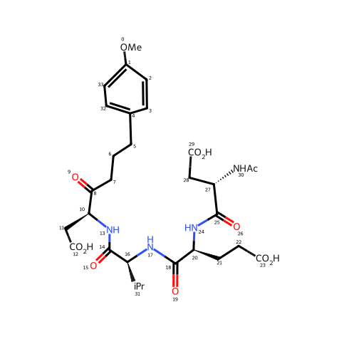 COc1ccc(CCCC(=O)[C@H](CC(=O)O)NC(=O)[C@@H](NC(=O)[C@H](CCC(=O)O)NC(=O)[C@H](CC(=O)O)NC(C)=O)C(C)C)cc1